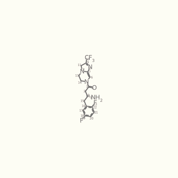 N[C@@H](CC(=O)N1C=C2N=C(C(F)(F)F)CN2CC1)Cc1cc(F)ccc1F